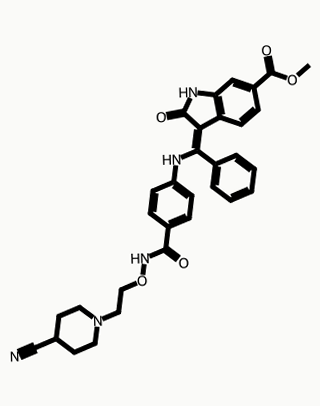 COC(=O)c1ccc2c(c1)NC(=O)/C2=C(\Nc1ccc(C(=O)NOCCN2CCC(C#N)CC2)cc1)c1ccccc1